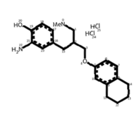 CNCC(COc1ccc2c(c1)CCCC2)Cc1ccc(O)c(N)c1.Cl.Cl